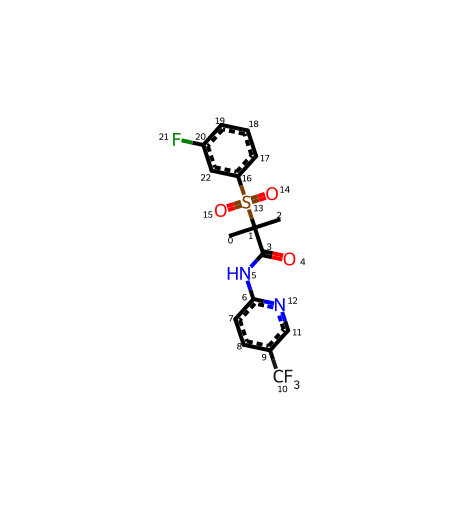 CC(C)(C(=O)Nc1ccc(C(F)(F)F)cn1)S(=O)(=O)c1cccc(F)c1